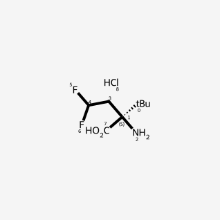 CC(C)(C)[C@@](N)(CC(F)F)C(=O)O.Cl